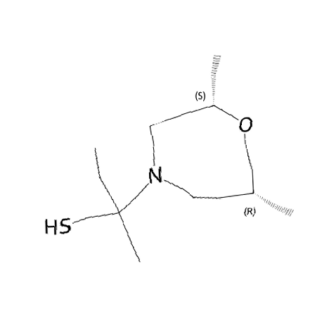 C[C@@H]1CN(C(C)(C)S)C[C@H](C)O1